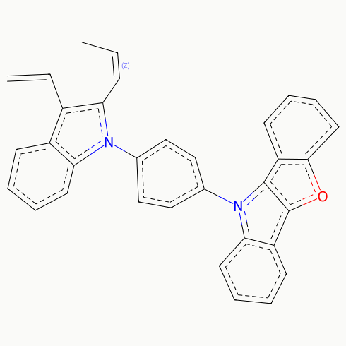 C=Cc1c(/C=C\C)n(-c2ccc(-n3c4ccccc4c4oc5ccccc5c43)cc2)c2ccccc12